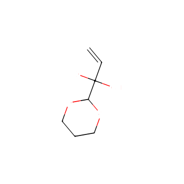 C=CC(O)(O)C1OCCCO1